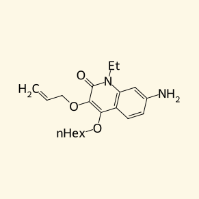 C=CCOc1c(OCCCCCC)c2ccc(N)cc2n(CC)c1=O